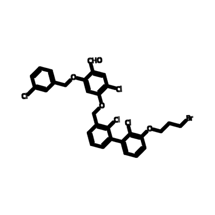 O=Cc1cc(Cl)c(OCc2cccc(-c3cccc(OCCCBr)c3Cl)c2Cl)cc1OCc1cccc(Cl)c1